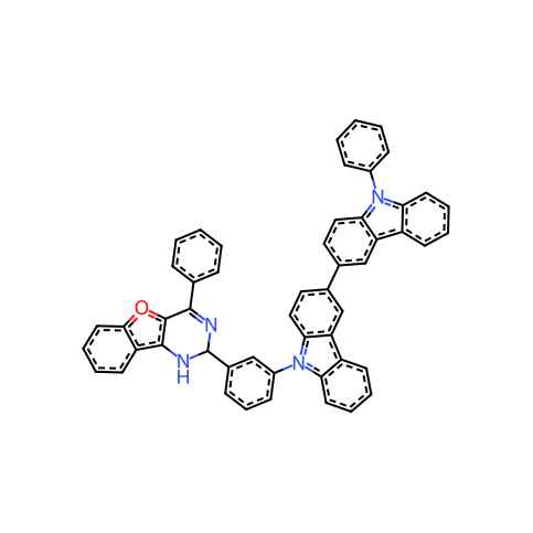 c1ccc(C2=NC(c3cccc(-n4c5ccccc5c5cc(-c6ccc7c(c6)c6ccccc6n7-c6ccccc6)ccc54)c3)Nc3c2oc2ccccc32)cc1